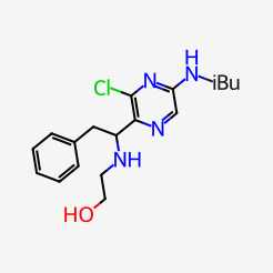 CCC(C)Nc1cnc(C(Cc2ccccc2)NCCO)c(Cl)n1